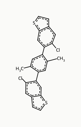 Cc1cc(-c2cc3sccc3cc2Cl)c(C)cc1-c1cc2sccc2cc1Cl